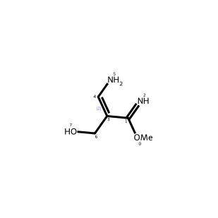 COC(=N)/C(=C\N)CO